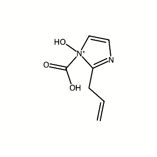 C=CCC1=NC=C[N+]1(O)C(=O)O